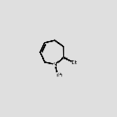 CCC1CCC=CCN1C(C)C